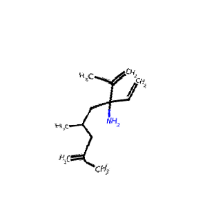 C=CC(N)(CC(C)CC(=C)C)C(=C)C